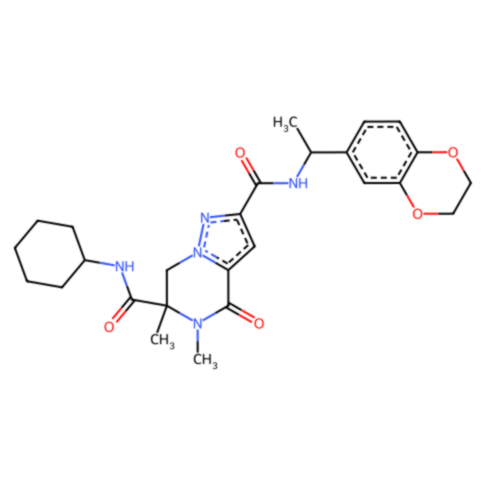 CC(NC(=O)c1cc2n(n1)CC(C)(C(=O)NC1CCCCC1)N(C)C2=O)c1ccc2c(c1)OCCO2